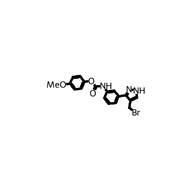 COc1ccc(OC(=O)Nc2cccc(-c3n[nH]cc3CBr)c2)cc1